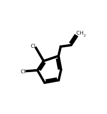 C=CCc1cccc(Cl)c1Cl